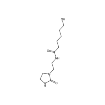 O=C(CCCCCO)NCCN1CCNC1=O